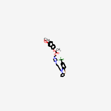 COc1ccc2ccc(OC(C)C(=O)OCCN3CCN(CCCN4c5ccccc5Sc5ccc(C(F)(F)F)cc54)CC3)cc2c1